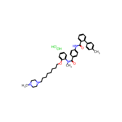 Cc1ccc(-c2ccccc2C(=O)Nc2ccc(C(=O)N(C)c3ccccc3OCCCCCCCCN3CCN(C)CC3)cc2)cc1.Cl.Cl